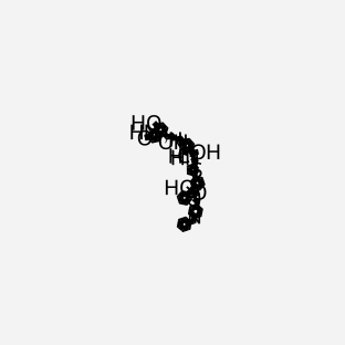 O=C(OCC1CCN(Cc2ccccc2)CC1)[C@](O)(c1ccccc1)c1cccc(C2=CCC(CNC(O)c3ccc(CNC[C@H](O)c4ccc(O)c5[nH]c(=O)ccc45)cc3Cl)S2)c1